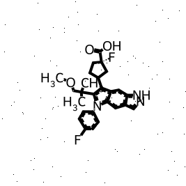 COCC(C)(C)c1c(C2CC[C@@](F)(C(=O)O)C2)c2cc3[nH]ncc3cc2n1-c1ccc(F)cc1